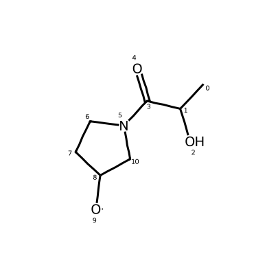 CC(O)C(=O)N1CCC([O])C1